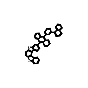 c1cc(-c2cccc3ccccc23)cc(-c2c3ccccc3c(-c3ccc4c(c3)oc3ccc5oc6ccccc6c5c34)c3ccccc23)c1